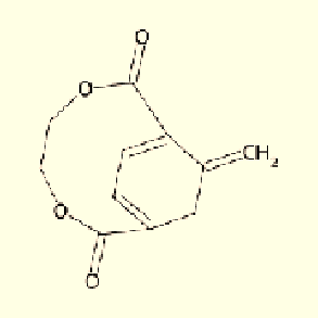 C=C1CC2=CC=C1C(=O)OCCOC2=O